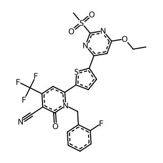 CCOc1cc(-c2ccc(-c3cc(C(F)(F)F)c(C#N)c(=O)n3Cc3ccccc3F)s2)nc(S(C)(=O)=O)n1